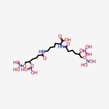 O=C(CCCC(CON(O)O)ON(O)O)NCCCCC(NC(=O)CCCC(CON(O)O)ON(O)O)C(=O)O